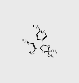 C=C/C=C(\C)[C@H]1OC(C)(C)O[C@H]1C(/C=C\CC)=C/C